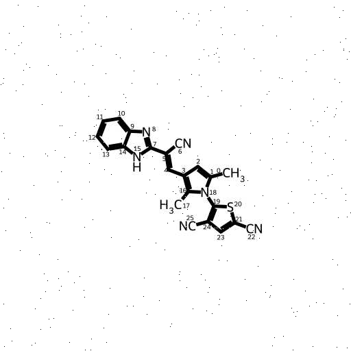 Cc1cc(/C=C(\C#N)c2nc3ccccc3[nH]2)c(C)n1-c1sc(C#N)cc1C#N